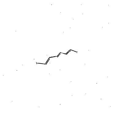 IC=CC=CC=CI